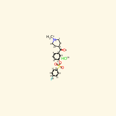 CN1CCC(C(=O)c2cccc(OS(=O)(=O)c3ccc(F)cc3)c2)CC1.Cl